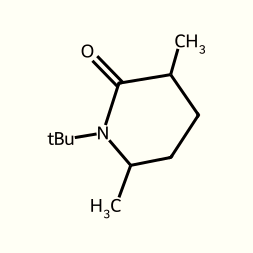 CC1CCC(C)N(C(C)(C)C)C1=O